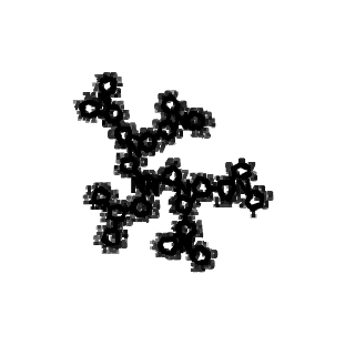 C1=CCC(n2c3ccccc3c3cc(-c4ccc5c(c4)c4cc(-c6ccc7c(c6)c6ccccc6n7-c6ccccc6)ccc4n5-c4cccc(-c5cc(-c6cccc(-n7c8ccc(-c9ccc%10c(c9)c9ccccc9n%10-c9ccccc9)cc8c8cc(-c9ccc%10c(c9)c9ccccc9n%10-c9ccccc9)ccc87)c6)nc(-c6cccc(-c7cc(-c8ccccc8)cc(-c8ccccc8)c7)c6)n5)c4)ccc32)C=C1